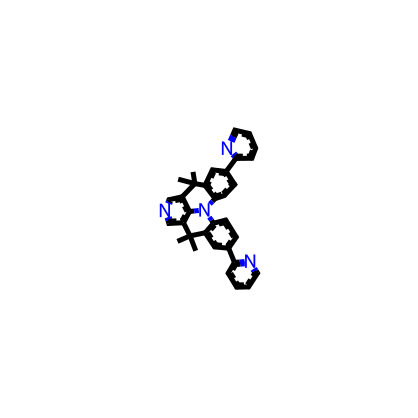 CC1(C)c2cc(-c3ccccn3)ccc2N2c3ccc(-c4ccccn4)cc3C(C)(C)c3cncc1c32